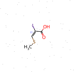 CS/C=C(/I)C(=O)O